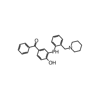 O=C(c1ccccc1)c1ccc(O)c(Pc2ccccc2CN2CCCCC2)c1